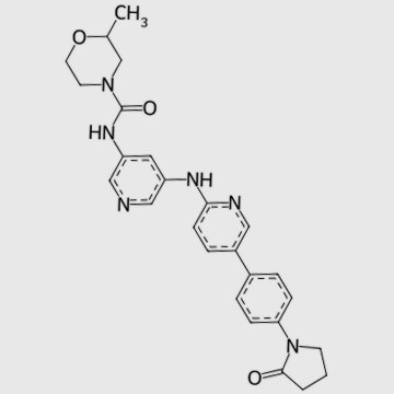 CC1CN(C(=O)Nc2cncc(Nc3ccc(-c4ccc(N5CCCC5=O)cc4)cn3)c2)CCO1